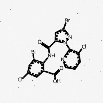 O=C(O)c1cc(Cl)cc(Br)c1NC(=O)c1cc(Br)nn1-c1ncccc1Cl